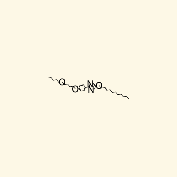 CCCCCCCCC=CCOc1cnc(-c2ccc(OCCCCOCCCCC)cc2)nc1